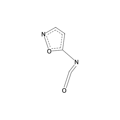 O=C=Nc1ccno1